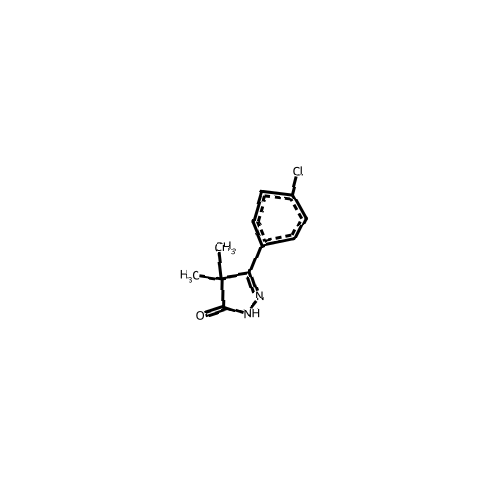 CC1(C)C(=O)NN=C1c1ccc(Cl)cc1